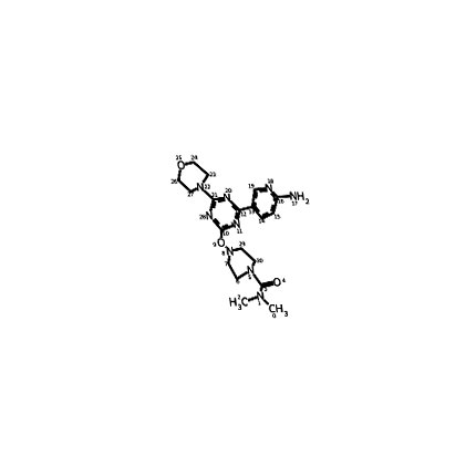 CN(C)C(=O)N1CCN(Oc2nc(-c3ccc(N)nc3)nc(N3CCOCC3)n2)CC1